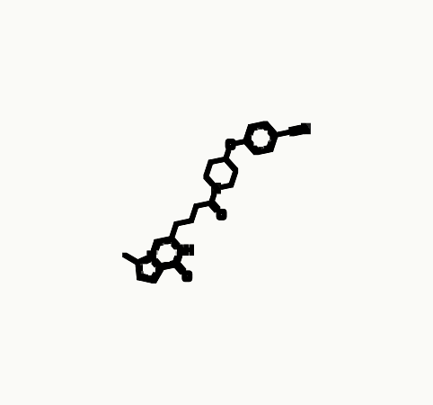 Cc1ccc2c(=O)[nH]c(CCCC(=O)N3CCC(Oc4ccc(C#N)cc4)CC3)cn12